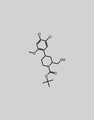 COc1cc(Cl)c(Cl)cc1C1CCN(C(=O)OC(C)(C)C)C(CO)C1